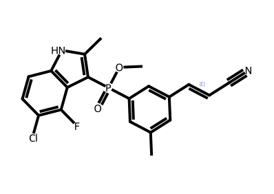 COP(=O)(c1cc(C)cc(/C=C/C#N)c1)c1c(C)[nH]c2ccc(Cl)c(F)c12